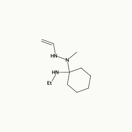 C=CNN(C)C1(NCC)CCCCC1